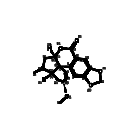 CO[C@H]1C=C[C@@]23c4cc5c(cc4C(=O)O[C@H]2CN(C)[C@H]3C1)OCO5